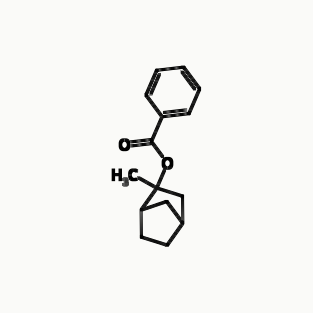 CC1(OC(=O)c2ccccc2)CC2CCC1C2